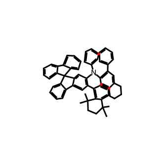 CC1(C)CCC(C)(C)c2c(-c3cc4c(cc3N(c3ccccc3)c3cc5c(cc3-c3ccccc3)CCCC5)C3(c5ccccc5-c5ccccc53)c3ccccc3-4)cccc21